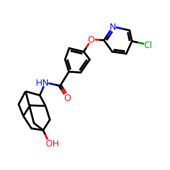 O=C(NC1C2CC3CC1CC(O)(C3)C2)c1ccc(Oc2ccc(Cl)cn2)cc1